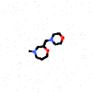 CN1CCCOC(CN2CCOCC2)C1